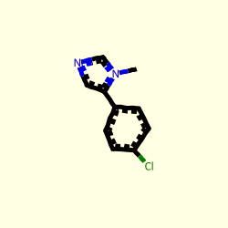 Cn1cncc1-c1ccc(Cl)cc1